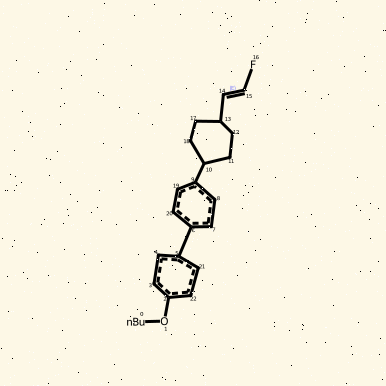 CCCCOc1ccc(-c2ccc(C3CCC(/C=C/F)CC3)cc2)cc1